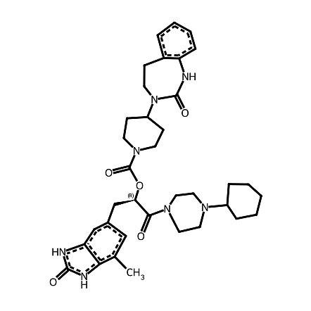 Cc1cc(C[C@@H](OC(=O)N2CCC(N3CCc4ccccc4NC3=O)CC2)C(=O)N2CCN(C3CCCCC3)CC2)cc2[nH]c(=O)[nH]c12